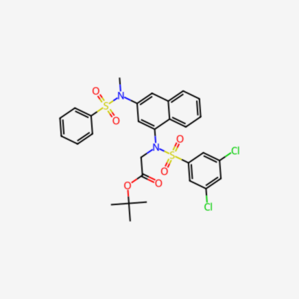 CN(c1cc(N(CC(=O)OC(C)(C)C)S(=O)(=O)c2cc(Cl)cc(Cl)c2)c2ccccc2c1)S(=O)(=O)c1ccccc1